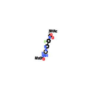 COC(=O)NNC1CCN(c2ccc(-c3ccc(N4C[C@H](CNC(C)=O)OC4=O)cc3F)cn2)CC1